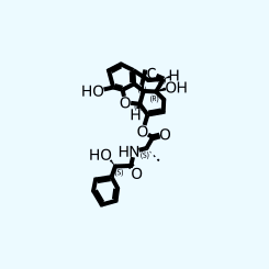 C[C@H](NC(=O)[C@@H](O)c1ccccc1)C(=O)OC1=CC[C@@]2(O)[C@@H]3CCC[C@@]24c2c(ccc(O)c2O[C@@H]14)C3